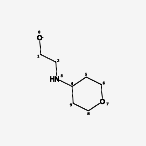 [O]CCNC1CCOCC1